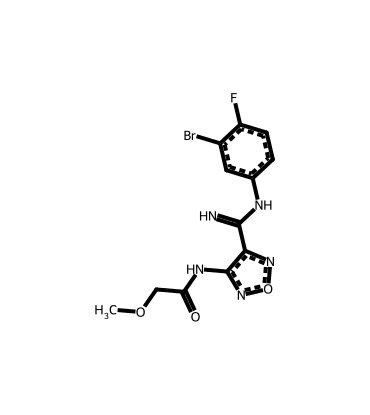 COCC(=O)Nc1nonc1C(=N)Nc1ccc(F)c(Br)c1